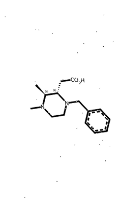 C[C@H]1[C@H](CC(=O)O)N(Cc2ccccc2)CCN1C